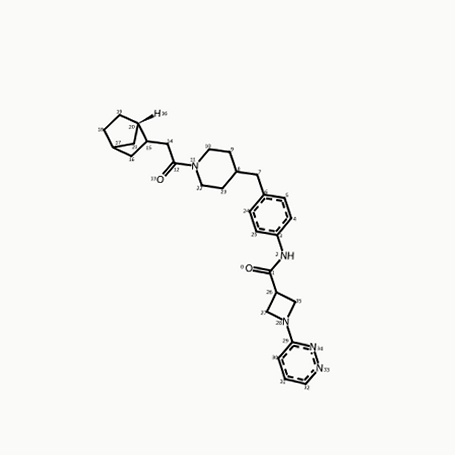 O=C(Nc1ccc(CC2CCN(C(=O)CC3CC4CC[C@H]3C4)CC2)cc1)C1CN(c2cccnn2)C1